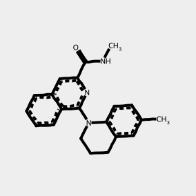 CNC(=O)c1cc2ccccc2c(N2CCCc3cc(C)ccc32)n1